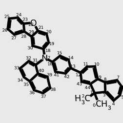 CC1(C)c2ccccc2-c2ccc(-c3ccc(N(c4ccc5oc6ccccc6c5c4)c4cccc5ccccc45)cc3)cc21